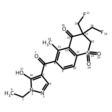 CCn1ncc(C(=O)c2ccc3c(c2C)C(=O)C(CF)(CF)CS3(=O)=O)c1O